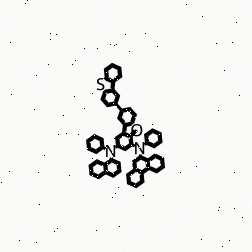 c1ccc(N(c2cc(N(c3ccccc3)c3cc4ccccc4c4ccccc34)c3oc4ccc(-c5ccc6sc7ccccc7c6c5)cc4c3c2)c2cccc3ccccc23)cc1